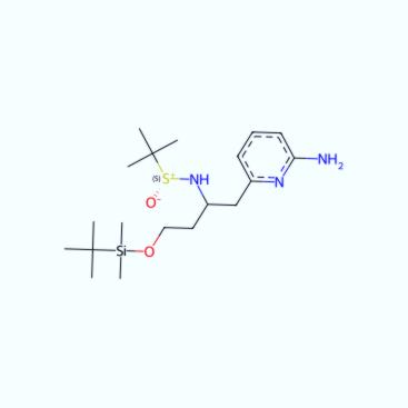 CC(C)(C)[S@@+]([O-])NC(CCO[Si](C)(C)C(C)(C)C)Cc1cccc(N)n1